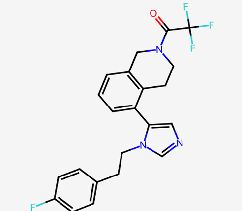 O=C(N1CCc2c(cccc2-c2cncn2CCc2ccc(F)cc2)C1)C(F)(F)F